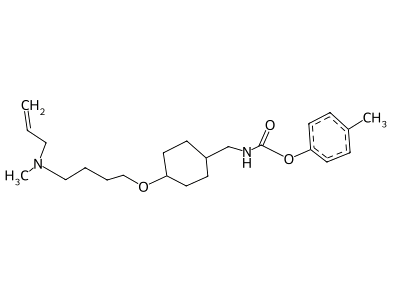 C=CCN(C)CCCCOC1CCC(CNC(=O)Oc2ccc(C)cc2)CC1